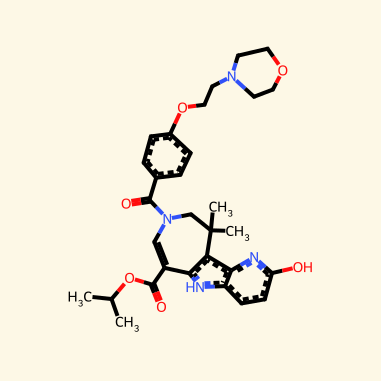 CC(C)OC(=O)C1=CN(C(=O)c2ccc(OCCN3CCOCC3)cc2)CC(C)(C)c2c1[nH]c1ccc(O)nc21